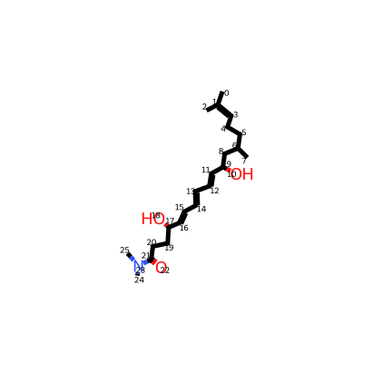 CC(C)=CCCC(C)CC(O)C=CC=CC=CC(O)CCC(=O)N(C)C